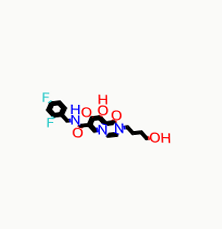 O=C(NCc1ccc(F)cc1F)c1cn2ccn(CCCCO)c(=O)c2c(O)c1=O